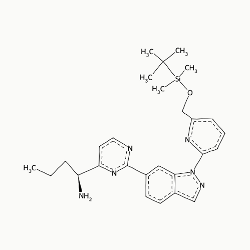 CCC[C@H](N)c1ccnc(-c2ccc3cnn(-c4cccc(CO[Si](C)(C)C(C)(C)C)n4)c3c2)n1